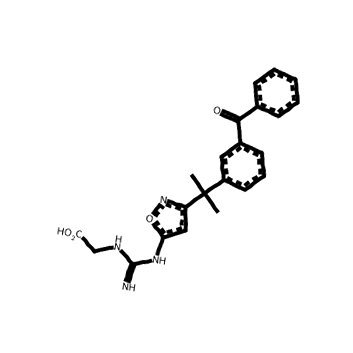 CC(C)(c1cccc(C(=O)c2ccccc2)c1)c1cc(NC(=N)NCC(=O)O)on1